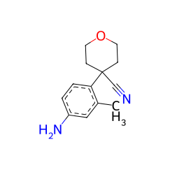 Cc1cc(N)ccc1C1(C#N)CCOCC1